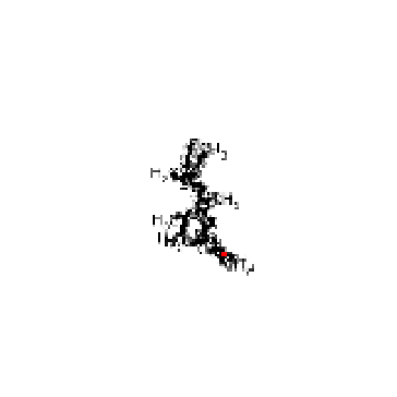 C=Cc1sc(-c2ccc(-c3cc(OCC(CC)CCCC)c(-c4ccc(-c5sc(C=C)c6c5OCC(CCCC)(CCCC)CO6)s4)cc3OC)s2)c(OCCCCC)c1OCCCCC